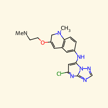 CNCCOC1=Cc2cc(Nc3cc(Cl)nc4ncnn34)ccc2N(C)C1